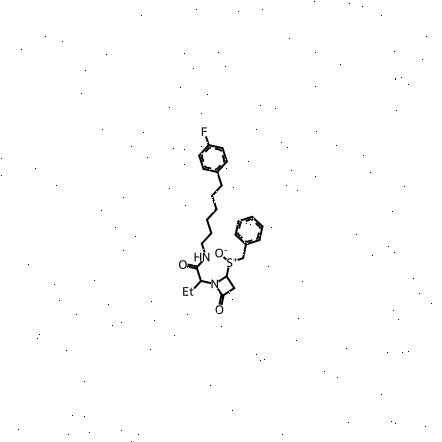 CCC(C(=O)NCCCCCCc1ccc(F)cc1)N1C(=O)CC1[S+]([O-])Cc1ccccc1